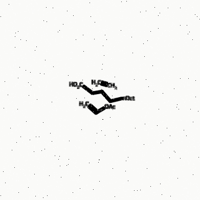 C=C.C=COC(C)=O.CCCCCCCCCCCC(=O)O